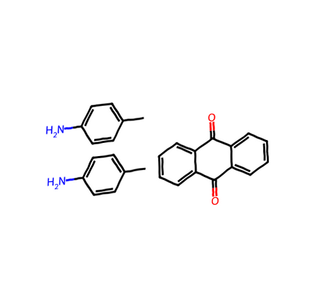 Cc1ccc(N)cc1.Cc1ccc(N)cc1.O=C1c2ccccc2C(=O)c2ccccc21